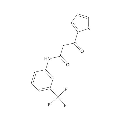 O=C(CC(=O)c1cccs1)Nc1cccc(C(F)(F)F)c1